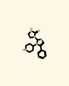 O=C1NCCN1C1SC=C(c2ccccc2)N1C1CCNCC1